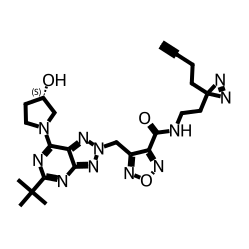 C#CCCC1(CCNC(=O)c2nonc2Cn2nc3nc(C(C)(C)C)nc(N4CC[C@H](O)C4)c3n2)N=N1